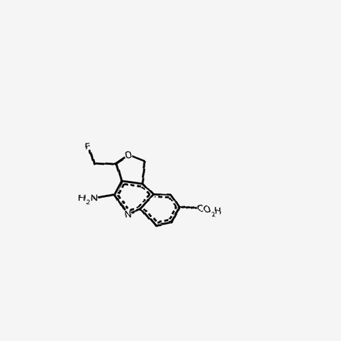 Nc1nc2ccc(C(=O)O)cc2c2c1C(CF)OC2